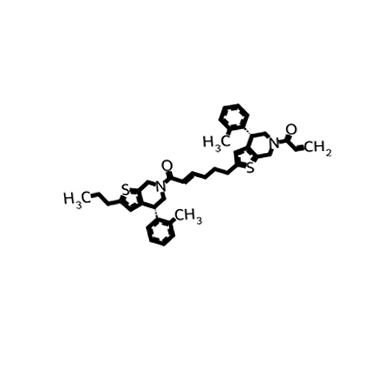 C=CC(=O)N1Cc2sc(CCC/C=C/C(=O)N3Cc4sc(CCC)cc4[C@@H](c4ccccc4C)C3)cc2[C@H](c2ccccc2C)C1